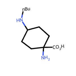 CCCCNC1CCC(N)(C(=O)O)CC1